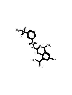 CC(C)c1cc(Cl)cc(C(C)C)c1NC(=O)NS(=O)(=O)c1cccc(S(C)(=O)=O)c1